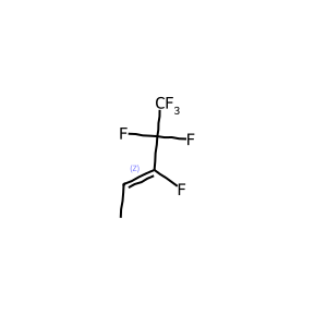 C/C=C(\F)C(F)(F)C(F)(F)F